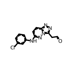 O=CCc1nnc2ccc(Nc3cccc(Cl)c3)nn12